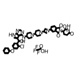 O=C(O)C(F)(F)F.O=C1CCC(N2C(=O)c3ccc(N4CC(N5CCC(N6CCC(Nc7ncnc8[nH]cc(C(=O)c9ccc(Oc%10ccccc%10)cc9Cl)c78)CC6)CC5)C4)cc3C2=O)C(=O)N1